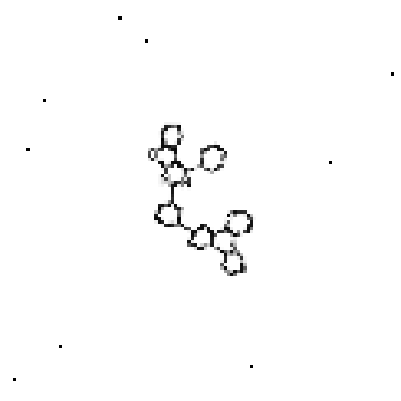 c1ccc(-c2nc(-c3cccc(-c4ccc5c6ccccc6c6ccccc6c5c4)c3)nc3oc4ccccc4c23)cc1